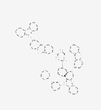 c1ccc(-c2cccc(-n3c4ccccc4c4cc(-c5ccc6oc7cccc(-c8nc(-c9ccccc9)nc(-c9ccc%10c(c9)oc9ccc(-n%11c%12ccccc%12c%12ccccc%12%11)cc9%10)n8)c7c6c5)ccc43)c2)cc1